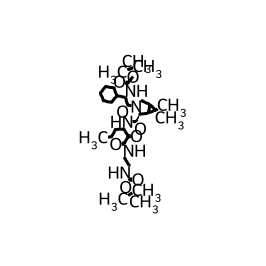 CCCC(NC(=O)[C@@H]1C2C(CN1C(=O)C(NC(=O)OC(C)(C)C)C1CCCCC1)C2(C)C)C(=O)C(=O)NCCNC(=O)OC(C)(C)C